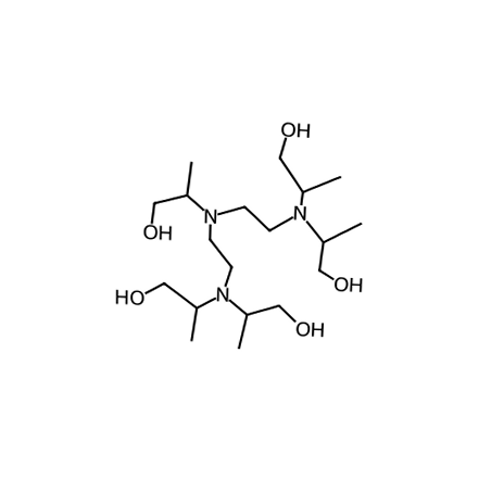 CC(CO)N(CCN(C(C)CO)C(C)CO)CCN(C(C)CO)C(C)CO